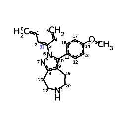 C=C/C=C(\C=C)n1nc2c(c1-c1ccc(OC)cc1)CCNCC2